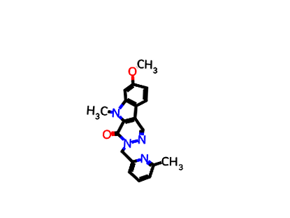 COc1ccc2c3cnn(Cc4cccc(C)n4)c(=O)c3n(C)c2c1